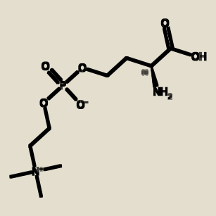 C[N+](C)(C)CCOP(=O)([O-])OCC[C@H](N)C(=O)O